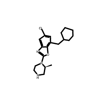 C[C@H]1CNCCN1c1nc2cc(Cl)cc(CC3CCCCC3)c2o1